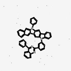 c1ccc(-c2nc(-c3cccc(-n4c5ccccc5c5cc6c(cc54)c4cc5ccccc5cc4n6-c4ccccc4)c3)nc3ccccc23)cc1